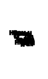 COc1cc(CCNc2ncc(C#N)c(NC[C@]34CC5C[C@H](C3)[C@@H](NC(=O)OC(C)(C)C)[C@@H](C5)C4)n2)ccc1O